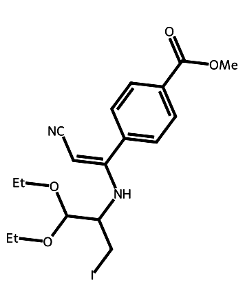 CCOC(OCC)C(CI)NC(=CC#N)c1ccc(C(=O)OC)cc1